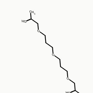 CC(O)COCCCOCCCOCC(C)O